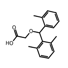 Cc1ccccc1C(OCC(=O)O)c1c(C)cccc1C